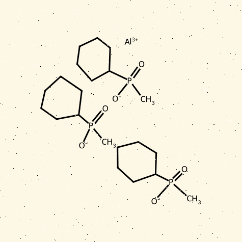 CP(=O)([O-])C1CCCCC1.CP(=O)([O-])C1CCCCC1.CP(=O)([O-])C1CCCCC1.[Al+3]